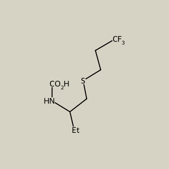 CCC(CSCCC(F)(F)F)NC(=O)O